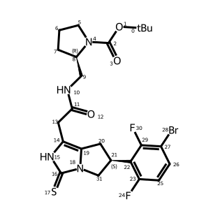 CC(C)(C)OC(=O)N1CCC[C@@H]1CNC(=O)Cc1[nH]c(=S)n2c1C[C@@H](c1c(F)ccc(Br)c1F)C2